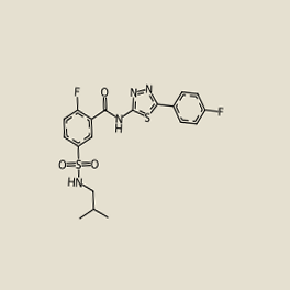 CC(C)CNS(=O)(=O)c1ccc(F)c(C(=O)Nc2nnc(-c3ccc(F)cc3)s2)c1